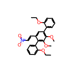 CCOc1ccccc1-c1cc(/C=C/[N+](=O)[O-])c(-c2ccccc2OCC)c(OC)c1OC